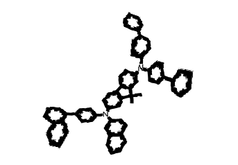 CC1(C)c2cc(N(c3ccc(-c4ccccc4)cc3)c3ccc(-c4ccccc4)cc3)ccc2-c2ccc(N(c3ccc(-c4cccc5ccccc45)cc3)c3ccc4ccccc4c3)cc21